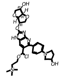 C[Si](C)(C)CCOC(Cl)c1cc2[nH]c(O[C@@H]3CO[C@H]4[C@@H]3OC[C@H]4O)nc2nc1-c1ccc(N2CCC(O)C2)cc1